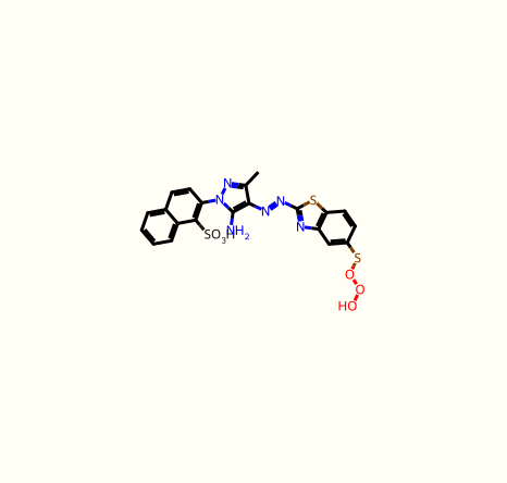 Cc1nn(-c2ccc3ccccc3c2S(=O)(=O)O)c(N)c1/N=N/c1nc2cc(SOOO)ccc2s1